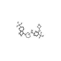 FC(F)(F)c1ccn2c(N3CCC[C@@H](Nc4ncc(C(F)(F)F)c(OC5COC5)n4)C3)nnc2c1